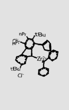 CCCc1c(CCC)c(C(C)(C)C)c(C2=CC=CC2)c2c1-c1ccc(C(C)(C)C)cc1[CH]2[Zr+2]=[C](c1ccccc1)c1ccccc1.[Cl-].[Cl-]